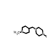 CN1CCC(CN2CCN(I)CC2)CC1